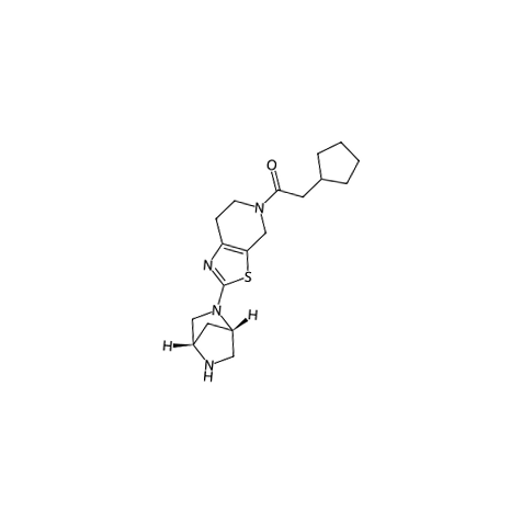 O=C(CC1CCCC1)N1CCc2nc(N3C[C@@H]4C[C@H]3CN4)sc2C1